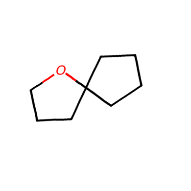 C1CCC2(C1)CCCO2